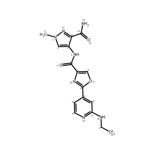 Cn1cc(NC(=O)c2coc(-c3ccnc(NCC(F)(F)F)c3)n2)c(C(N)=O)n1